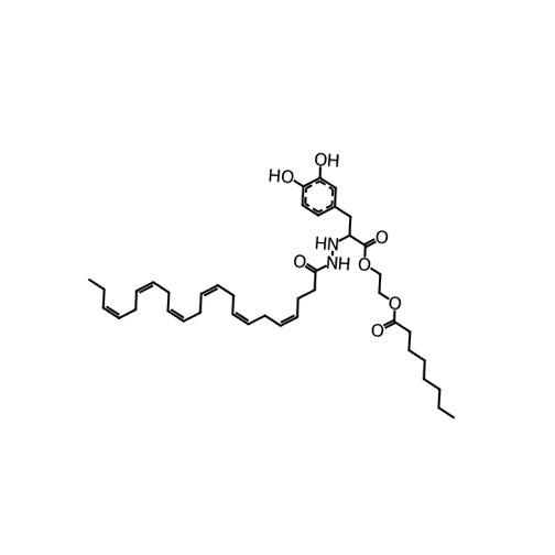 CC/C=C\C/C=C\C/C=C\C/C=C\C/C=C\C/C=C\CCC(=O)NNC(Cc1ccc(O)c(O)c1)C(=O)OCCOC(=O)CCCCCCC